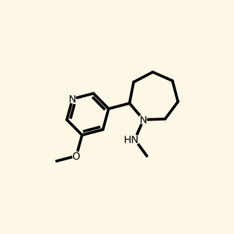 CNN1CCCCCC1c1cncc(OC)c1